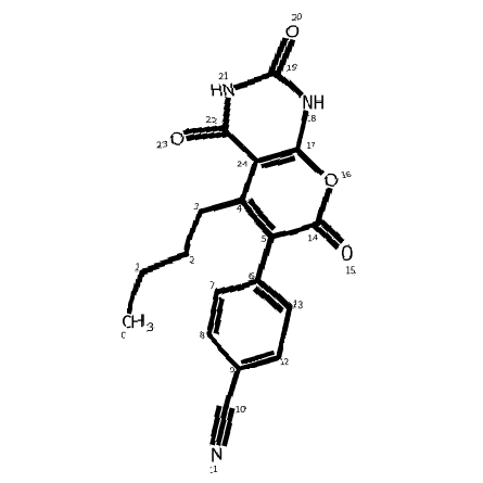 CCCCc1c(-c2ccc(C#N)cc2)c(=O)oc2[nH]c(=O)[nH]c(=O)c12